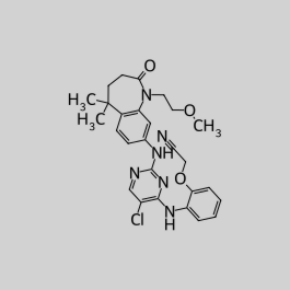 COCCN1C(=O)CCC(C)(C)c2ccc(Nc3ncc(Cl)c(Nc4ccccc4OCC#N)n3)cc21